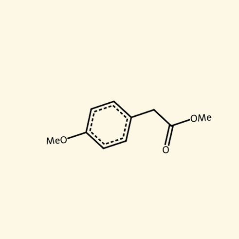 [CH2]Oc1ccc(CC(=O)OC)cc1